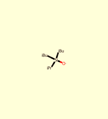 CCC(C)[Si]([O])(C(C)C)C(C)CC